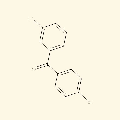 CCc1ccc(C(=O)c2cccc(C(C)=O)c2)cc1